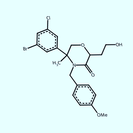 COc1ccc(CN2C(=O)C(CCO)OCC2(C)c2cc(Cl)cc(Br)c2)cc1